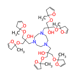 CC1(OCC(O)(COC2(C)CC=CO2)CN2CCN(CC(O)(COC3(C)CC=CO3)COC3(C)CC=CO3)CCN(CC(O)(COC3(C)CC=CO3)COC3(C)CC=CO3)CC2)CC=CO1